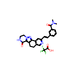 CN(C)C(=O)c1cccc(C=Cc2cc3c(cn2)CCc2c-3nn3c2C(=O)NCC3)c1.O=C(O)C(F)(F)F